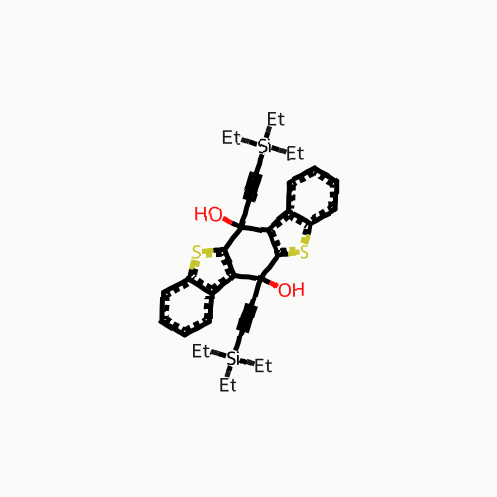 CC[Si](C#CC1(O)c2sc3ccccc3c2C(O)(C#C[Si](CC)(CC)CC)c2sc3ccccc3c21)(CC)CC